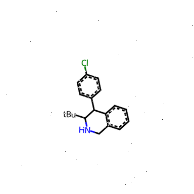 CC(C)(C)C1NCc2ccccc2C1c1ccc(Cl)cc1